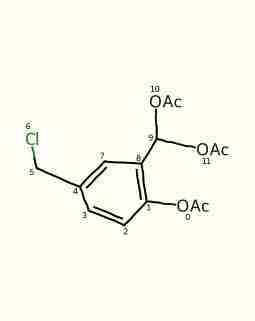 CC(=O)Oc1ccc(CCl)cc1C(OC(C)=O)OC(C)=O